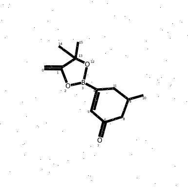 C=C1OB(C2=CC(=O)CC(C)C2)OC1(C)C